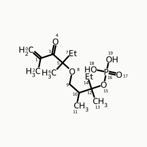 C=C(C)C(=O)C(C)(CC)OCC(C)C(C)(CC)OP(=O)(O)O